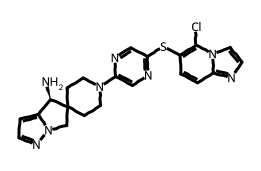 N[C@@H]1c2ccnn2CC12CCN(c1cnc(Sc3ccc4nccn4c3Cl)cn1)CC2